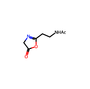 CC(=O)NCCC1=NCC(=O)O1